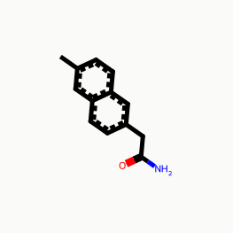 Cc1ccc2cc(CC(N)=O)ccc2c1